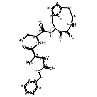 CC(C)CC(NC(=O)C(NC(=O)OCc1ccccc1)C(C)C)C(=O)NC1Cc2ncc(o2)CCNC(=O)C1=O